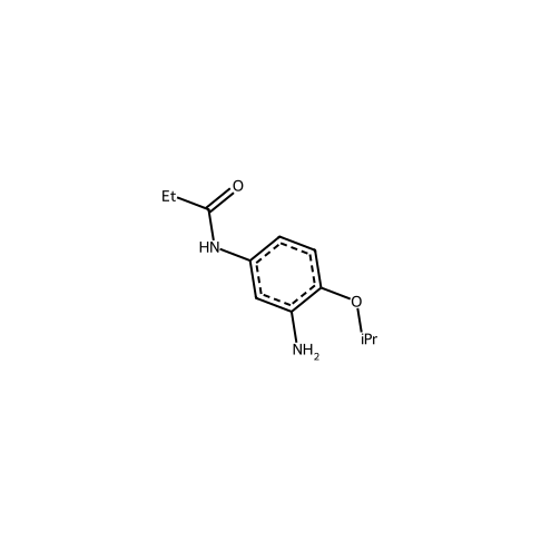 CCC(=O)Nc1ccc(OC(C)C)c(N)c1